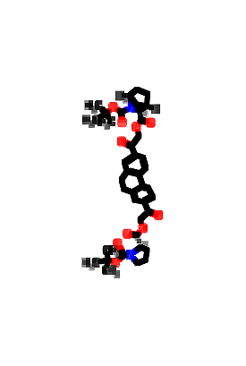 CC(C)(C)OC(=O)N1CCC[C@H]1C(=O)OCC(=O)c1ccc2c(c1)CCc1cc(C(=O)COC(=O)[C@@H]3[C@H]4CC[C@H](C4)N3C(=O)OC(C)(C)C)ccc1-2